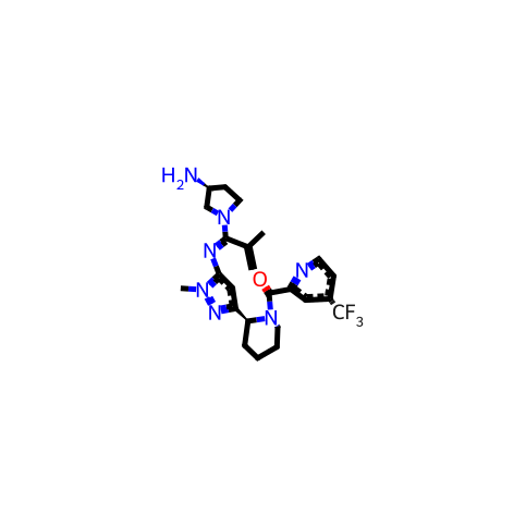 C=C(C)/C(=N\c1cc([C@@H]2CCCCN2C(=O)c2cc(C(F)(F)F)ccn2)nn1C)N1CC[C@H](N)C1